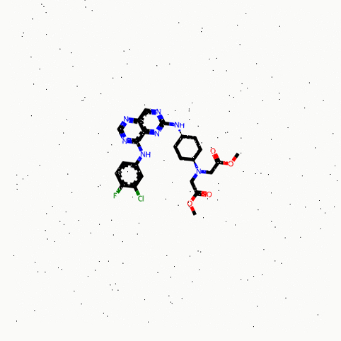 COC(=O)CN(CC(=O)OC)[C@H]1CC[C@H](Nc2ncc3ncnc(Nc4ccc(F)c(Cl)c4)c3n2)CC1